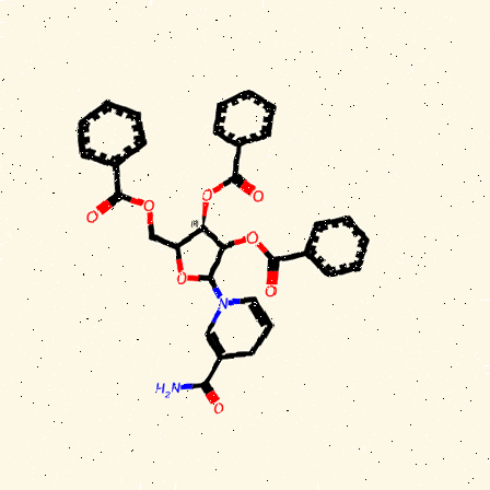 NC(=O)C1=CN(C2OC(COC(=O)c3ccccc3)[C@@H](OC(=O)c3ccccc3)C2OC(=O)c2ccccc2)C=CC1